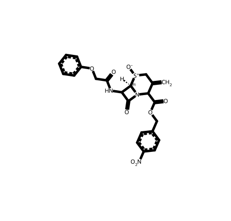 C=C1C[S+]([O-])[C@@H]2C(NC(=O)COc3ccccc3)C(=O)N2C1C(=O)OCc1ccc([N+](=O)[O-])cc1